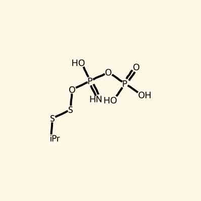 CC(C)SSOP(=N)(O)OP(=O)(O)O